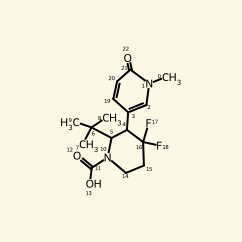 Cn1cc(C2C(C(C)(C)C)N(C(=O)O)CCC2(F)F)ccc1=O